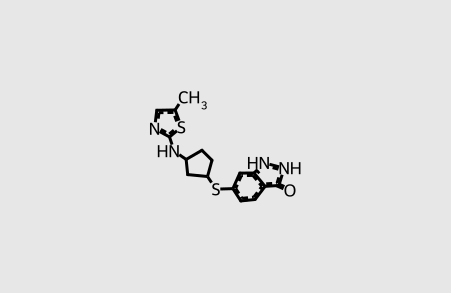 Cc1cnc(NC2CCC(Sc3ccc4c(=O)[nH][nH]c4c3)C2)s1